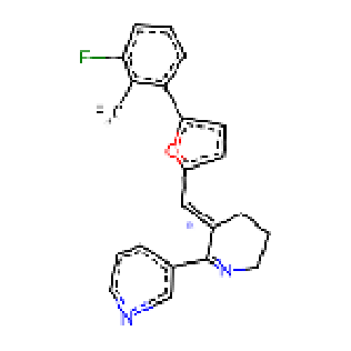 Fc1cccc(-c2ccc(/C=C3\CCCN=C3c3cccnc3)o2)c1C(F)(F)F